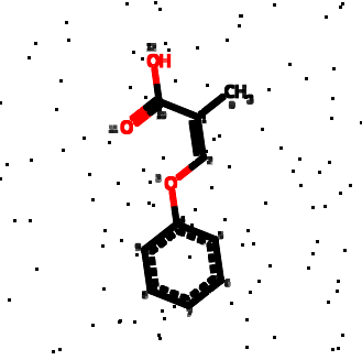 CC(=COc1ccccc1)C(=O)O